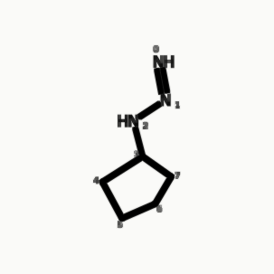 N=NNC1CCCC1